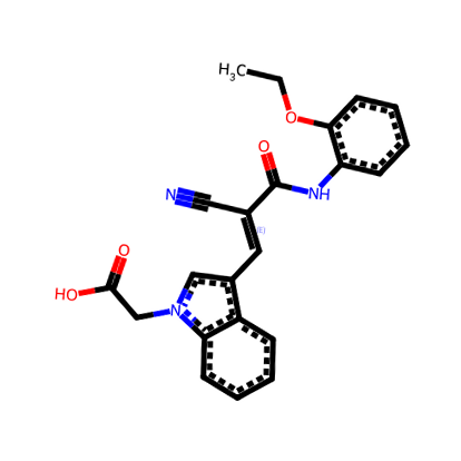 CCOc1ccccc1NC(=O)/C(C#N)=C/c1cn(CC(=O)O)c2ccccc12